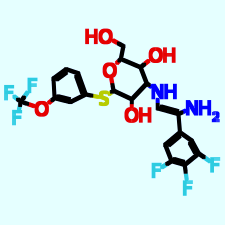 N/C(=C\NC1C(O)C(CO)OC(Sc2cccc(OC(F)(F)F)c2)C1O)c1cc(F)c(F)c(F)c1